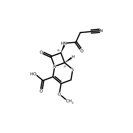 COC1=C(C(=O)O)N2C(=O)[C@@H](NC(=O)CC#N)[C@@H]2SC1